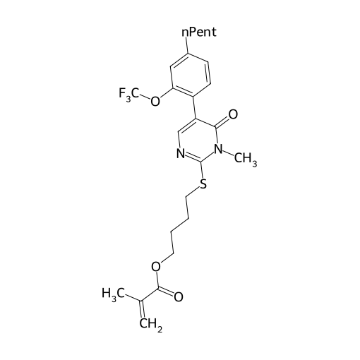 C=C(C)C(=O)OCCCCSc1ncc(-c2ccc(CCCCC)cc2OC(F)(F)F)c(=O)n1C